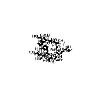 CC[C@H](C)[C@H](NC(=O)[C@@H](CCCNC(=N)N)NC(=O)[C@H](CC(C)C)NC(=O)[C@@H](NC(=O)[C@H](Cc1cccc(N)c1)NC(=O)[C@H](CC(C)(C)C)NC(=O)[C@H](N)CC(C)(C)C)C(O)C(C)C)C(=O)N[C@H](C(=O)NCC(=O)N[C@@H](Cc1cccnc1)C(=O)N[C@@H](CO)C(=O)O)[C@H](C)O